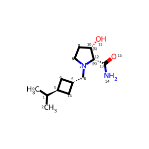 CC(C)[C@H]1C[C@H](CN2CC[C@H](O)[C@@H]2C(N)=O)C1